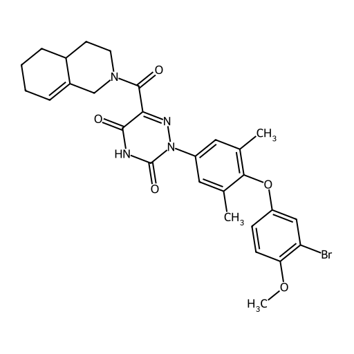 COc1ccc(Oc2c(C)cc(-n3nc(C(=O)N4CCC5CCCC=C5C4)c(=O)[nH]c3=O)cc2C)cc1Br